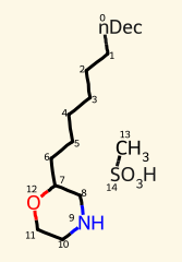 CCCCCCCCCCCCCCCCC1CNCCO1.CS(=O)(=O)O